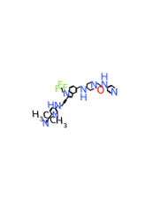 CC(C)(C#N)c1ccc(NCC#Cc2cc3cc(CNC4CCN(CC(=O)Nc5ccncc5)CC4)ccc3n2CC(F)(F)F)cn1